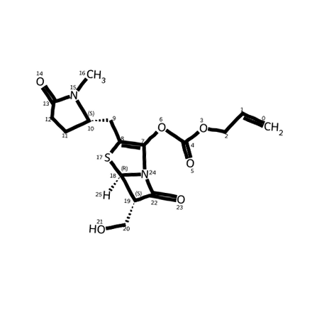 C=CCOC(=O)OC1=C(C[C@@H]2CCC(=O)N2C)S[C@@H]2[C@@H](CO)C(=O)N12